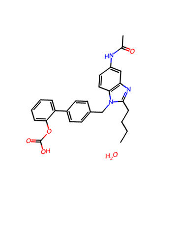 CCCCc1nc2cc(NC(C)=O)ccc2n1Cc1ccc(-c2ccccc2OC(=O)O)cc1.O